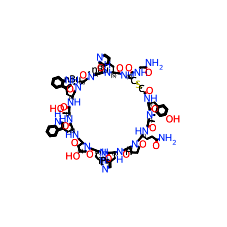 CCCC[C@H]1C(=O)N(C)[C@@H](CCCC)C(=O)N[C@@H](Cc2ccncc2)C(=O)N[C@H](C(=O)NCC(N)=O)CSCC(=O)N[C@@H](Cc2ccc(O)cc2)C(=O)N(C)[C@@H](C)C(=O)N[C@@H](CCC(N)=O)C(=O)N2CCC[C@H]2C(=O)N[C@@H](Cc2cnc[nH]2)C(=O)N[C@@H](CC(C)C)C(=O)N2C[C@H](O)CC2C(=O)N[C@@H](Cc2c[nH]c3ccccc23)C(=O)N[C@@H](CO)C(=O)N[C@@H](Cc2c[nH]c3ccccc23)C(=O)N1C